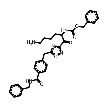 NCCCCC(NC(=O)OCc1ccccc1)C(=O)c1noc(Cc2ccc(C(=O)NCc3ccccc3)cc2)n1